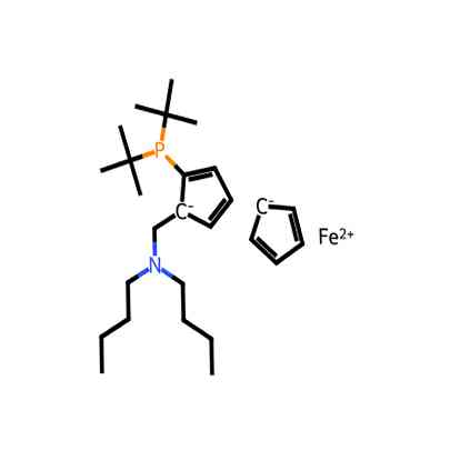 CCCCN(CCCC)C[c-]1cccc1P(C(C)(C)C)C(C)(C)C.[Fe+2].c1cc[cH-]c1